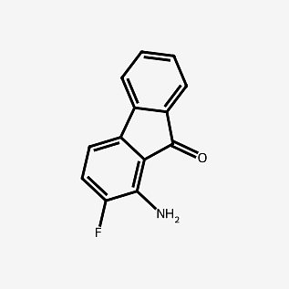 Nc1c(F)ccc2c1C(=O)c1ccccc1-2